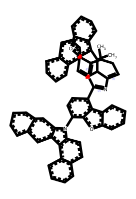 CC1C/C=C(C2C=Cc3oc4ccccc4c3C2C)/N=C(c2ccc(-n3c4cc5ccccc5cc4c4c5ccccc5ccc43)c3oc4ccccc4c23)\N=C/1c1cccc2ccccc12